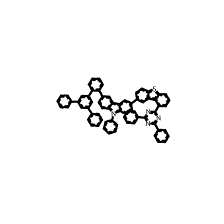 c1ccc(-c2cc(-c3ccccc3)cc(-c3ccccc3-c3ccc4c(c3)c3cc(-c5ccc6sc7cccc(-c8nc(-c9ccccc9)nc(-c9ccccc9)n8)c7c6c5)ccc3n4-c3ccccc3)c2)cc1